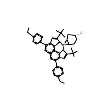 CCc1ccc(-c2cccc3c2C=C(C(C)(C)C)[CH]3[Hf+2]2([CH]3C(C(C)(C)C)=Cc4c(-c5ccc(CC)cc5)cccc43)[CH]3CCCC[CH]32)cc1.[Cl-].[Cl-]